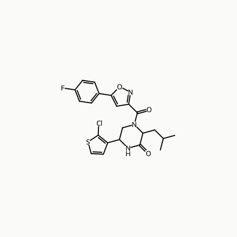 CC(C)CC1C(=O)NC(c2ccsc2Cl)CN1C(=O)c1cc(-c2ccc(F)cc2)on1